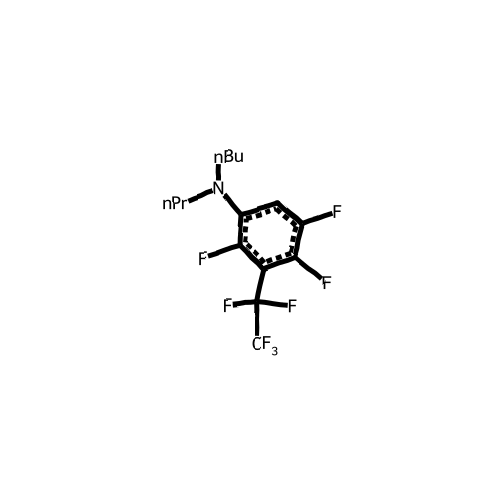 CCCCN(CCC)c1cc(F)c(F)c(C(F)(F)C(F)(F)F)c1F